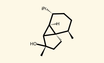 CC(C)[C@@H]1CC[C@@H](C)[C@@]23CC[C@](C)(O)C2[C@@H]13